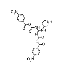 O=C(N=C(NC(=O)OC(=O)c1ccc([N+](=O)[O-])cc1)N[C@H]1CCNC1)OC(=O)c1ccc([N+](=O)[O-])cc1